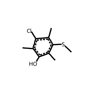 CSc1c(C)c(O)c(C)c(Cl)c1C